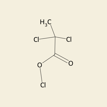 CC(Cl)(Cl)C(=O)OCl